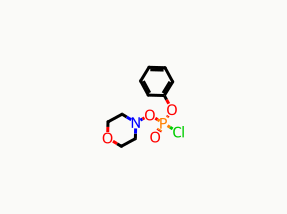 O=P(Cl)(Oc1ccccc1)ON1CCOCC1